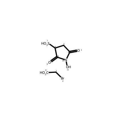 O=C(O)CBr.O=C1CC(S(=O)(=O)O)C(=O)N1O